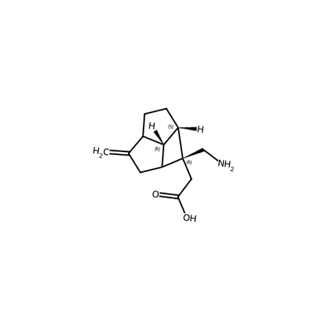 C=C1CC2[C@@H]3C1CC[C@@H]3[C@]2(CN)CC(=O)O